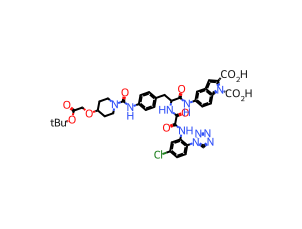 CC(C)(C)OC(=O)COC1CCN(C(=O)Nc2ccc(CC(NC(=O)C(=O)Nc3cc(Cl)ccc3-n3cnnn3)C(=O)Nc3ccc4c(c3)cc(C(=O)O)n4C(=O)O)cc2)CC1